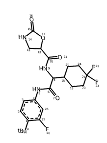 CC(C)(C)c1ccc(NC(=O)C(NC(=O)C2CNC(=O)O2)C2CCC(F)(F)CC2)cc1F